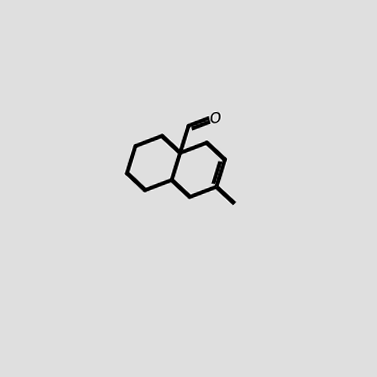 CC1=CCC2(C=O)CCCCC2C1